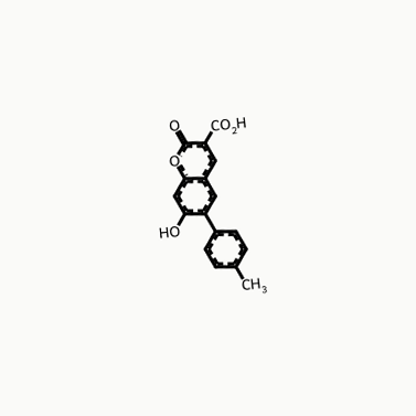 Cc1ccc(-c2cc3cc(C(=O)O)c(=O)oc3cc2O)cc1